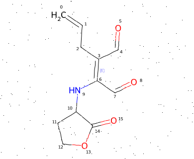 C=CC/C(C=O)=C(/C=O)NC1CCOC1=O